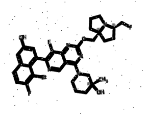 CCc1c(F)ccc2cc(O)cc(-c3ncc4c(N5CCC[C@@](C)(O)C5)nc(OC[C@@]56CCCN5[C@@H](CF)CC6)nc4c3F)c12